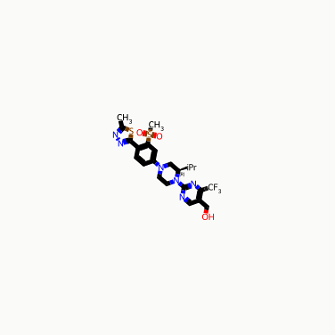 Cc1nnc(-c2ccc(N3CCN(c4ncc(CO)c(C(F)(F)F)n4)[C@H](C(C)C)C3)cc2S(C)(=O)=O)s1